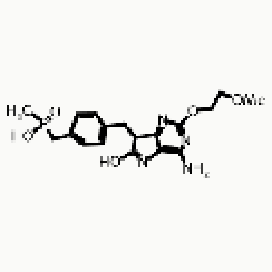 COCCOc1nc(N)c2c(n1)C(Cc1ccc(CP(C)(=O)O)cc1)C(O)=N2